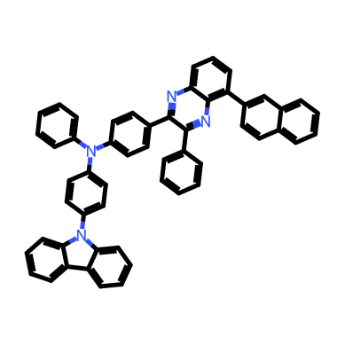 c1ccc(-c2nc3c(-c4ccc5ccccc5c4)cccc3nc2-c2ccc(N(c3ccccc3)c3ccc(-n4c5ccccc5c5ccccc54)cc3)cc2)cc1